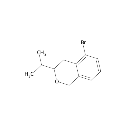 CC(C)C1Cc2c(Br)cccc2CO1